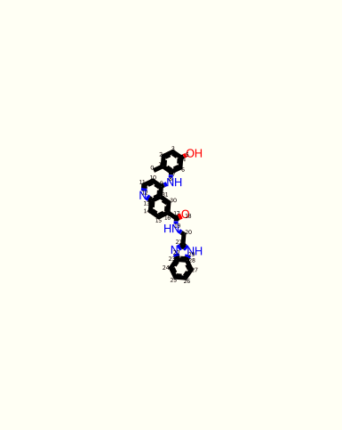 Cc1ccc(O)cc1Nc1ccnc2ccc(C(=O)NCc3nc4ccccc4[nH]3)cc12